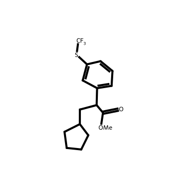 COC(=O)C(CC1CCCC1)c1cccc(SC(F)(F)F)c1